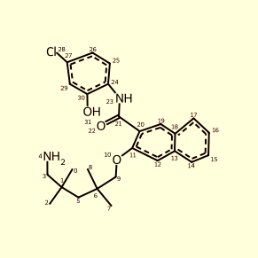 CC(C)(CN)CC(C)(C)COc1cc2ccccc2cc1C(=O)Nc1ccc(Cl)cc1O